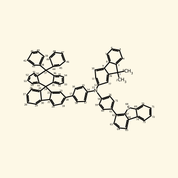 CC1(C)c2ccccc2-c2ccc(N(c3ccc(-c4ccc5c(c4)C4(c6ccccc6-5)c5ccccc5C(c5ccccc5)(c5ccccc5)c5ccccc54)cc3)c3ccc(-c4cccc5c4sc4ccccc45)cc3)cc21